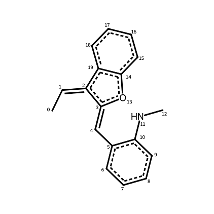 C/C=c1\c(=C\c2ccccc2NC)oc2ccccc12